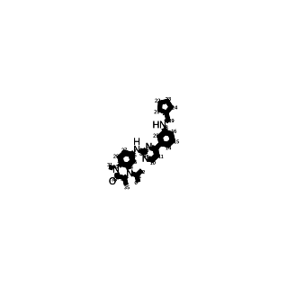 CC(C)N1c2cc(Nc3nccc(-c4cccc(NCC5CCCC5)c4)n3)ccc2N(C)C(=O)C1C